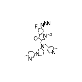 Cc1ccc(N2CCC[C@H](N(Cc3ccnc(C)c3)Cc3cn(C4CC4)c4cc(N=[N+]=[N-])c(F)cc4c3=O)C2)cn1